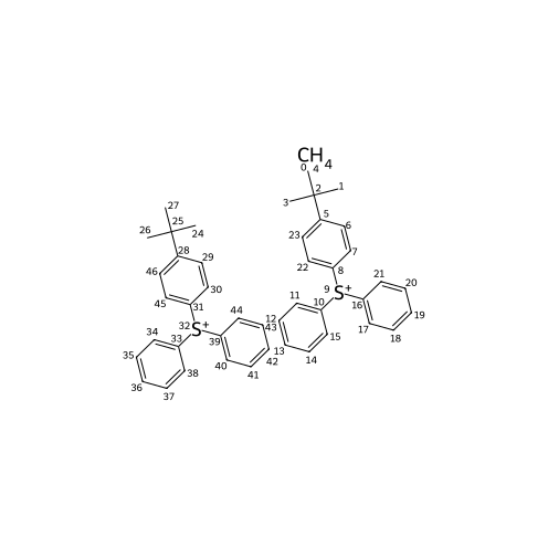 C.CC(C)(C)c1ccc([S+](c2ccccc2)c2ccccc2)cc1.CC(C)(C)c1ccc([S+](c2ccccc2)c2ccccc2)cc1